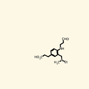 CCN(C)Cc1cc(CCC(=O)O)ccc1NCCC=O